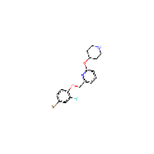 Fc1cc(Br)ccc1OCc1cccc(OC2CCNCC2)n1